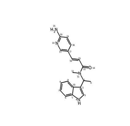 CC(c1c[nH]c2ccccc12)N(C)C(=O)/C=C/c1ccc(N)nc1